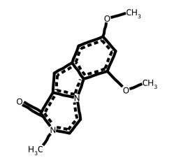 COc1cc(OC)c2c(c1)cc1c(=O)n(C)ccn12